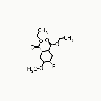 CCOC(=O)C1C[C@H](F)C(OC)C[C@@H]1C(=O)OCC